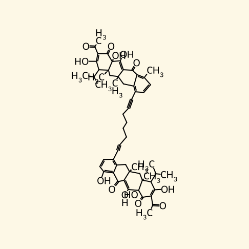 CC(=O)C1=C(O)C(C(C)C)[C@@]2(C)C[C@@]3(C)Cc4c(C#CCCCCC#Cc5ccc(O)c6c5C[C@]5(C)C[C@]7(C)C(C(C)C)C(O)=C(C(C)=O)C(=O)[C@]7(O)C(O)=C5C6=O)ccc(C)c4C(=O)C3=C(O)[C@@]2(O)C1=O